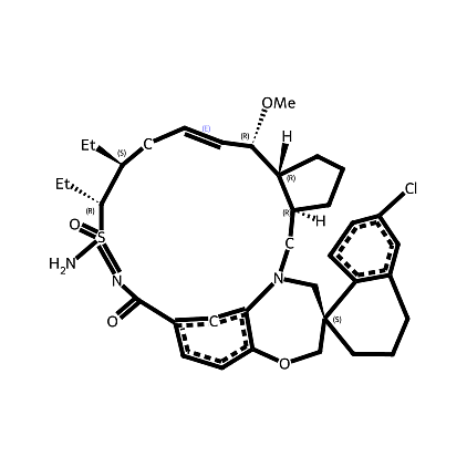 CC[C@H]1C/C=C/[C@H](OC)[C@@H]2CCC[C@H]2CN2C[C@@]3(CCCc4cc(Cl)ccc43)COc3ccc(cc32)C(=O)N=S(N)(=O)[C@@H]1CC